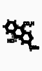 COc1ccc2c(C(=O)O)c3ccccc3nc2c1.Cl